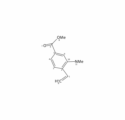 C=Cc1ccc(C(=O)OC)cc1NC